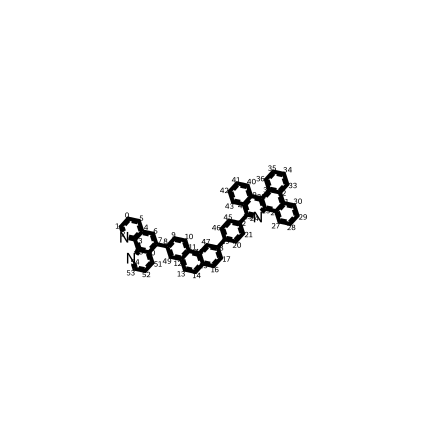 c1cnc2c(c1)cc(-c1ccc3c(ccc4ccc(-c5ccc(-c6nc7c8ccccc8c8ccccc8c7c7ccccc67)cc5)cc43)c1)c1cccnc12